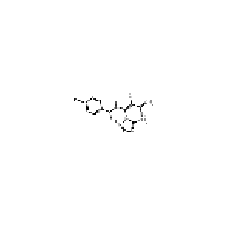 C=C(CC)/C(Cl)=C(/NC(C)c1ccc(C(C)C)cc1)n1ncnc1N